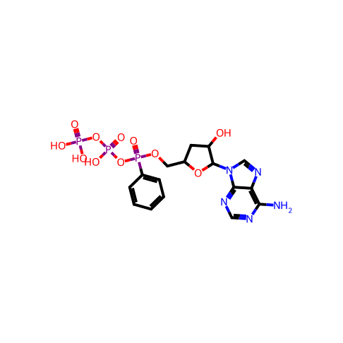 Nc1ncnc2c1ncn2C1OC(COP(=O)(OP(=O)(O)OP(=O)(O)O)c2ccccc2)CC1O